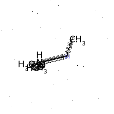 CCCCCCCC/C=C\CCCCCCCCCCCC(=O)NC(CC(C)C)C(=O)O